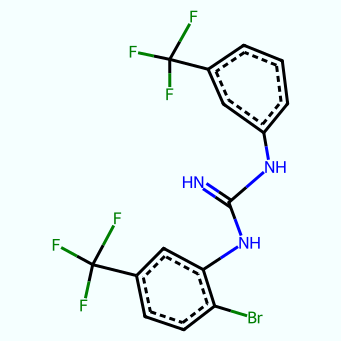 N=C(Nc1cccc(C(F)(F)F)c1)Nc1cc(C(F)(F)F)ccc1Br